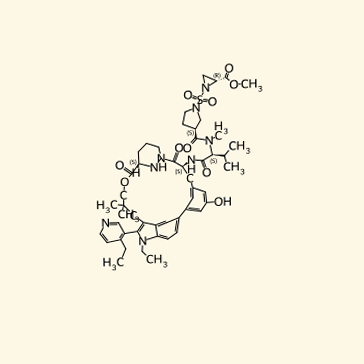 CCc1ccncc1-c1c2c3cc(ccc3n1CC)-c1cc(O)cc(c1)C[C@H](NC(=O)[C@H](C(C)C)N(C)C(=O)[C@H]1CCN(S(=O)(=O)N3C[C@@H]3C(=O)OC)C1)C(=O)N1CCC[C@H](N1)C(=O)OCC(C)(C)C2